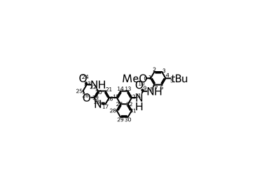 COc1ccc(C(C)(C)C)cc1NC(=O)Nc1ccc(-c2cnc3c(c2)NC(=O)CO3)c2ccccc12